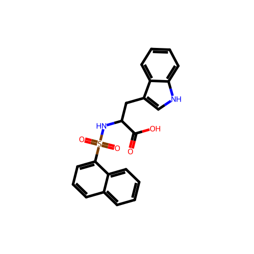 O=C(O)C(Cc1c[nH]c2ccccc12)NS(=O)(=O)c1cccc2ccccc12